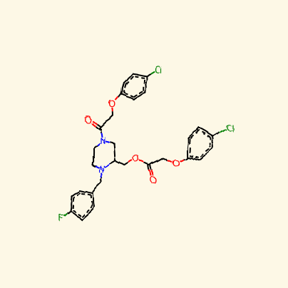 O=C(COc1ccc(Cl)cc1)OCC1CN(C(=O)COc2ccc(Cl)cc2)CCN1Cc1ccc(F)cc1